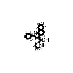 O[C@@H](c1cc(-c2ccccc2)nc2c1ccc1ccccc12)[C@H]1CCCCN1